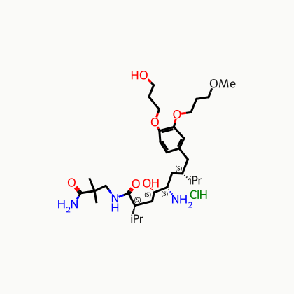 COCCCOc1cc(C[C@@H](C[C@H](N)[C@@H](O)C[C@H](C(=O)NCC(C)(C)C(N)=O)C(C)C)C(C)C)ccc1OCCCO.Cl